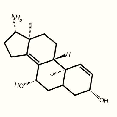 C[C@]12CC[C@H]3C(=C1CC[C@@H]2N)[C@@H](O)CC1C[C@@H](O)C=C[C@@]13C